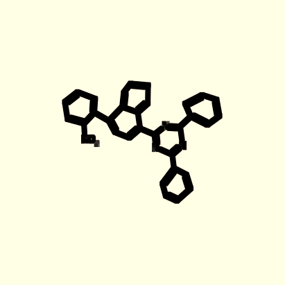 O=[N+]([O-])c1ccccc1-c1ccc(-c2nc(-c3ccccc3)nc(-c3ccccc3)n2)c2ccccc12